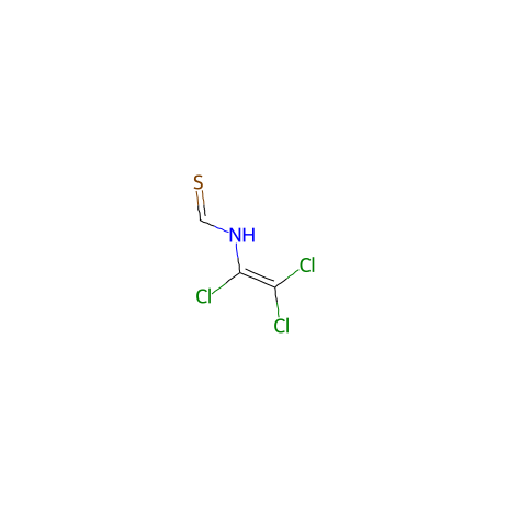 S=CNC(Cl)=C(Cl)Cl